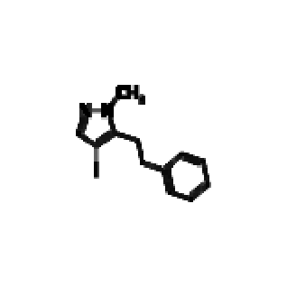 Cn1ncc(I)c1CCc1ccccc1